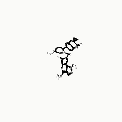 C[C@H]1CCC(c2ccc3c(c2)CC2(CC2)C(=O)N3)N(C(=O)c2cc3c(cc2F)nc(N)c2cnn(C)c23)C1